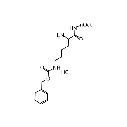 CCCCCCCCNC(=O)C(N)CCCCNC(=O)OCc1ccccc1.Cl